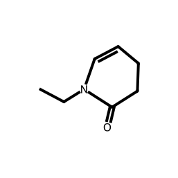 CCN1C=CCCC1=O